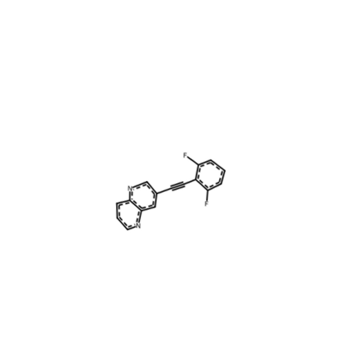 Fc1cccc(F)c1C#Cc1cnc2cccnc2c1